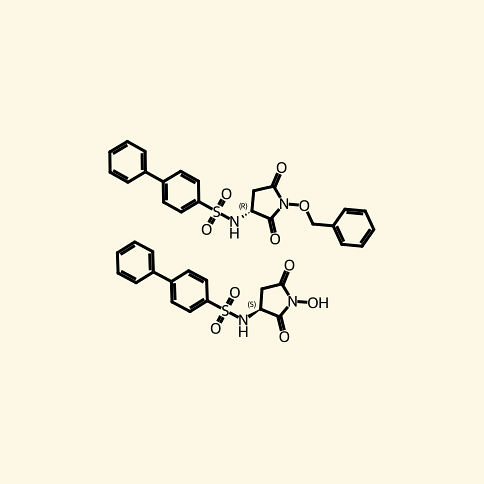 O=C1C[C@@H](NS(=O)(=O)c2ccc(-c3ccccc3)cc2)C(=O)N1OCc1ccccc1.O=C1C[C@H](NS(=O)(=O)c2ccc(-c3ccccc3)cc2)C(=O)N1O